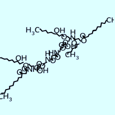 CCCCCC/C=C/CCCC(=O)O[C@H](CCCCCCC)CC(=O)NC(COCC[C@H](O)CCCCCCC)COP(=O)(O)OCCNC(=O)CC(=O)NCCOP(=O)(O)OCC(COCC[C@H](O)CCCCCCC)NC(=O)CC(=O)CCCCCCCCCCC